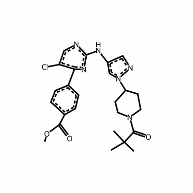 COC(=O)c1ccc(-c2nc(Nc3cnn(C4CCN(C(=O)C(C)(C)C)CC4)c3)ncc2Cl)cc1